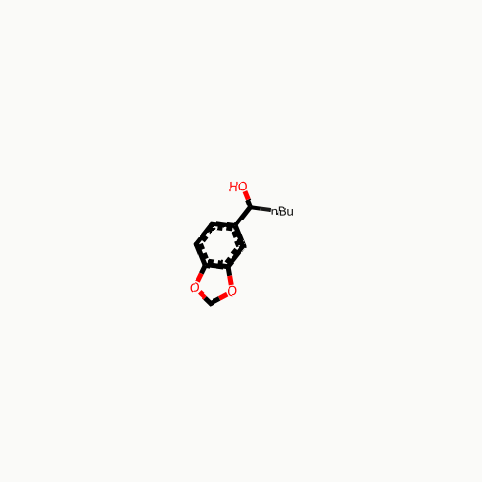 CCCCC(O)c1ccc2c(c1)OCO2